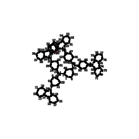 c1cc(N(c2ccc(-n3c4ccccc4c4ccccc43)cc2)c2ccc(-n3c4ccccc4c4ccccc43)cc2)cc(N(c2ccc(-n3c4ccccc4c4ccccc43)cc2)c2ccc(-n3c4ccccc4c4ccccc43)cc2)c1